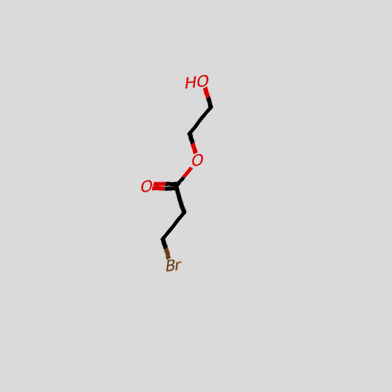 O=C(CCBr)OCCO